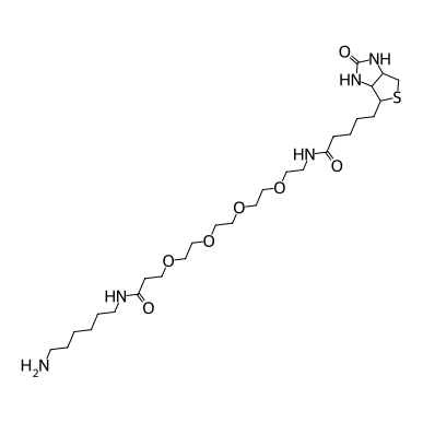 NCCCCCCNC(=O)CCOCCOCCOCCOCCNC(=O)CCCCC1SCC2NC(=O)NC21